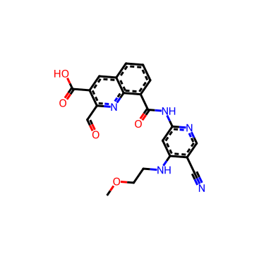 COCCNc1cc(NC(=O)c2cccc3cc(C(=O)O)c(C=O)nc23)ncc1C#N